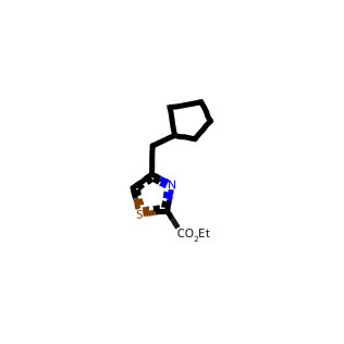 CCOC(=O)c1nc(CC2CCCC2)cs1